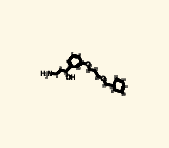 NCC[C@@H](O)c1cccc(OCCCOCc2ccccc2)c1